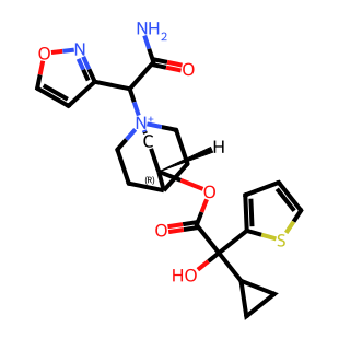 NC(=O)C(c1ccon1)[N+]12CCC(CC1)[C@@H](OC(=O)C(O)(c1cccs1)C1CC1)C2